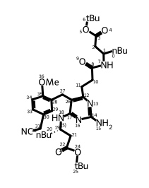 CCCCC(CC(=O)OC(C)(C)C)NC(=O)CCc1nc(N)nc(N[C@@H](CCCC)CC(=O)OC(C)(C)C)c1Cc1cc(CC#N)ccc1OC